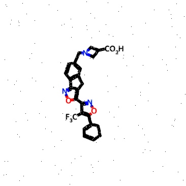 O=C(O)C1CN(Cc2ccc3c(c2)Cc2c-3noc2-c2noc(C3=CC=CCC3)c2C(F)(F)F)C1